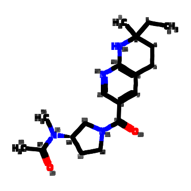 CCC1(C)CCc2cc(C(=O)N3CC[C@H](N(C)C(C)=O)C3)cnc2N1